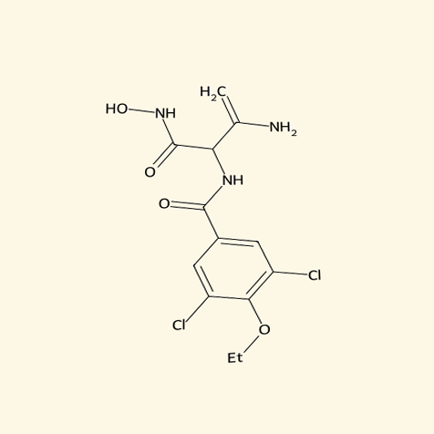 C=C(N)C(NC(=O)c1cc(Cl)c(OCC)c(Cl)c1)C(=O)NO